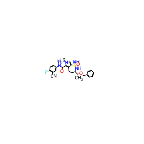 C[C@@H](OCc1ccccc1)C1CCc2c(cn(C)c2C(=O)Nc2ccc(F)c(C#N)c2)S(=N)(=O)N1